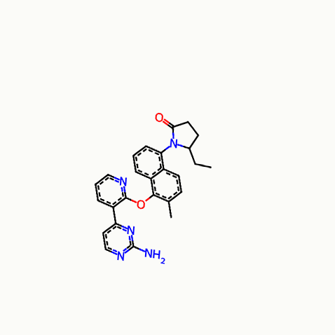 CCC1CCC(=O)N1c1cccc2c(Oc3ncccc3-c3ccnc(N)n3)c(C)ccc12